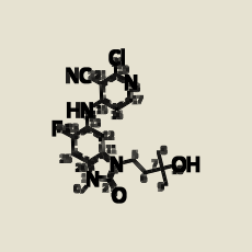 Cn1c(=O)n(CCC(C)(C)O)c2cc(Nc3ccnc(Cl)c3C#N)c(F)cc21